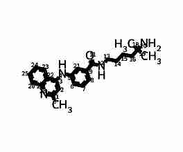 Cc1cc(Nc2cccc(C(=O)NCCCCC(C)(C)N)c2)c2ccccc2n1